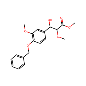 COC(=O)C(OC)C(O)c1ccc(OCc2ccccc2)c(OC)c1